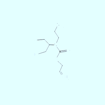 C=CCOC(=O)N(CCN)C(CO)CO